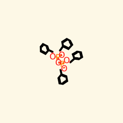 c1ccc(COP(OCc2ccccc2)OP(OCc2ccccc2)OCc2ccccc2)cc1